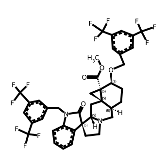 COC(=O)[C@@]12C[C@@]13C[C@@H]1N(CC[C@@]14C(=O)N(Cc1cc(C(F)(F)F)cc(C(F)(F)F)c1)c1ccccc14)C[C@@H]3CC[C@@H]2OCc1cc(C(F)(F)F)cc(C(F)(F)F)c1